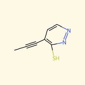 CC#Cc1ccnnc1S